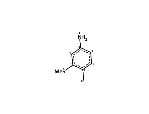 CSc1cc(N)ccc1C